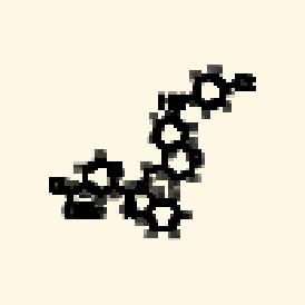 CCc1ccc(Nc2ccc3c(c2)OCCC3Cn2c(-c3cc(C(=O)OC)ccn3)nc3ccccc32)cc1